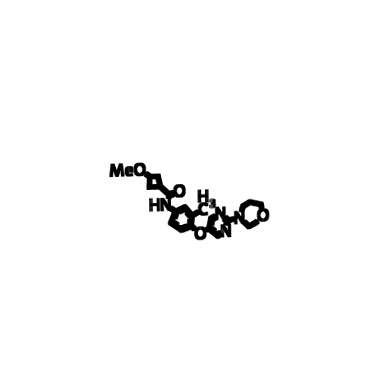 COC1CC(C(=O)Nc2ccc(Oc3cnc(N4CCCOCC4)nc3)c(C)c2)C1